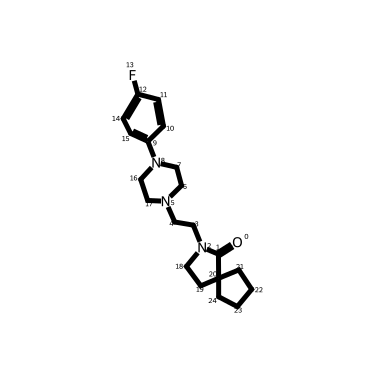 O=C1N(CCN2CCN(c3ccc(F)cc3)CC2)CCC12CCCC2